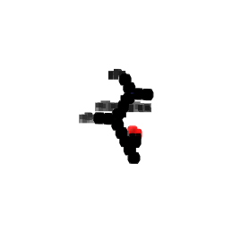 CCCCCCc1cc(-c2ccc(N(c3ccc(-c4ccc(CCC)cc4)cc3)c3ccc(-c4ccc(-c5ccc(-c6ccc(-c7ccccc7)cc6-c6ccc7c(c6)CS(=O)OC7)cc5)cc4)cc3)cc2C)c(CCCCCC)cc1-c1ccc(N(c2ccc(-c3ccccc3)cc2)c2ccc(-c3ccc(CCC)cc3)cc2)cc1C